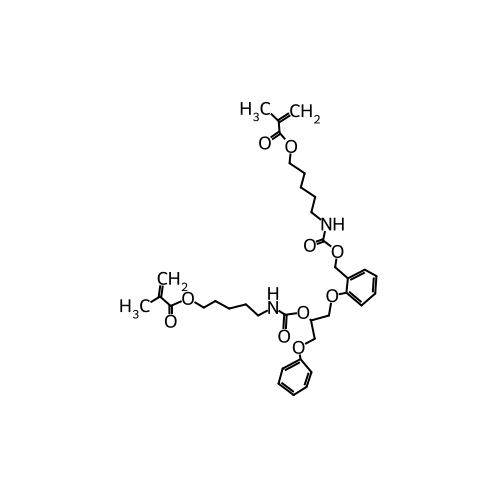 C=C(C)C(=O)OCCCCCNC(=O)OCc1ccccc1OCC(COc1ccccc1)OC(=O)NCCCCCOC(=O)C(=C)C